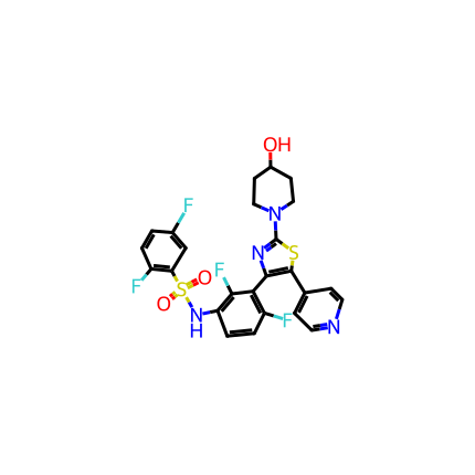 O=S(=O)(Nc1ccc(F)c(-c2nc(N3CCC(O)CC3)sc2-c2ccncc2)c1F)c1cc(F)ccc1F